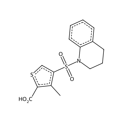 Cc1c(S(=O)(=O)N2CCCc3ccccc32)csc1C(=O)O